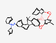 Cc1cc2c3c(c1)Oc1ccc4ccccc4c1B3c1cc3c(cc1O2)-c1ccc2cc(N(c4ccccc4)c4ccccc4)ccc2c1C3(C)C